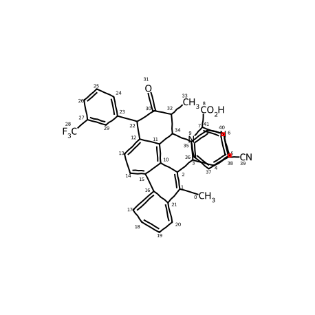 Cc1c(-c2ccnc(C(=O)O)n2)c2c3c(ccc2c2ccccc12)C(c1cccc(C(F)(F)F)c1)C(=O)C(C)C3c1ccc(C#N)cc1